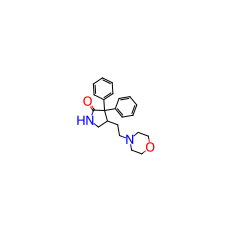 O=C1NCC(CCN2CCOCC2)C1(c1ccccc1)c1ccccc1